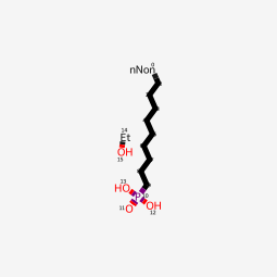 CCCCCCCCCCCCCCCCCCP(=O)(O)O.CCO